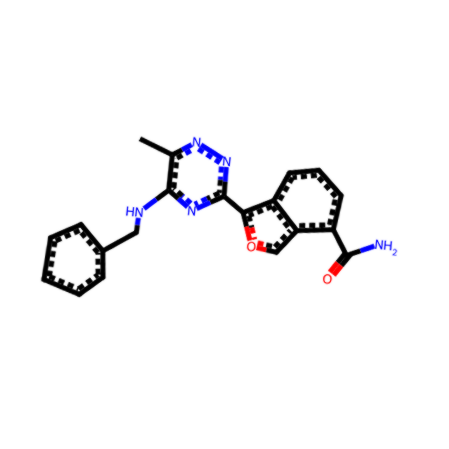 Cc1nnc(-c2occ3c(C(N)=O)cccc23)nc1NCc1ccccc1